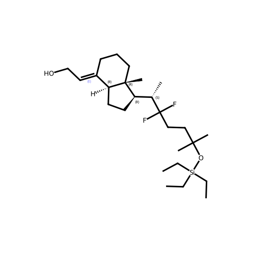 CC[Si](CC)(CC)OC(C)(C)CCC(F)(F)[C@@H](C)[C@H]1CC[C@H]2/C(=C/CO)CCC[C@]12C